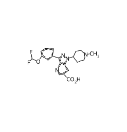 CN1CCC(n2nc(-c3cccc(OC(F)F)c3)c3ncc(C(=O)O)cc32)CC1